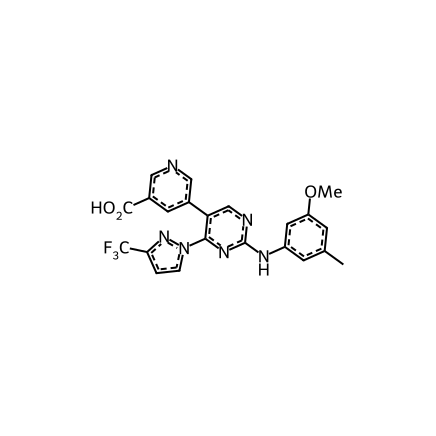 COc1cc(C)cc(Nc2ncc(-c3cncc(C(=O)O)c3)c(-n3ccc(C(F)(F)F)n3)n2)c1